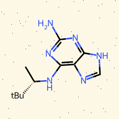 C[C@H](Nc1nc(N)nc2[nH]cnc12)C(C)(C)C